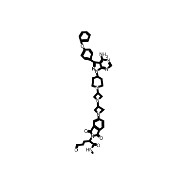 CNC(=O)C(CCC=O)N1C(=O)c2ccc(N3CC(N4CC(N5CCC(n6nc(-c7ccc(Oc8ccccc8)cc7)c7c(N)ncnc76)CC5)C4)C3)cc2C1=O